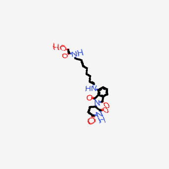 O=C(CO)NCCCCCCCCNc1cccc2c1C(=O)N(C1CCC(=O)NC1=O)C2=O